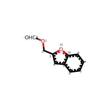 O=[C]OCc1cc2ccccc2o1